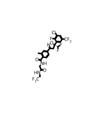 Cc1cc(C2=NO[C@](c3cc(C(F)(F)F)cc(Cl)c3F)(C(F)F)C2)ccc1C(=O)NCC(=O)NCC(F)(F)F